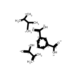 C=C(C)C(=O)O.CC(C)C(C)C.O=C(O)c1cccc(C(=O)O)c1